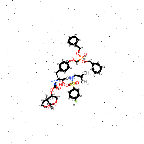 CC(C)CN(C[C@@H](O)[C@H](Cc1ccc(OCP(=O)(OCc2ccccc2)OCc2ccccc2)cc1)NC(=O)O[C@H]1CO[C@H]2OCC[C@H]21)S(=O)(=O)c1ccc(F)cc1